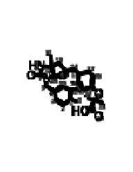 Cc1ccc(CN2C(=O)NC(C)(CCCc3ccc(OC(C)(C)C(=O)O)cc3)C2=O)cc1C